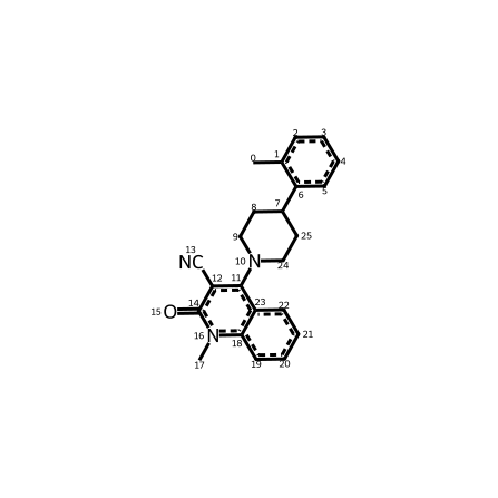 Cc1ccccc1C1CCN(c2c(C#N)c(=O)n(C)c3ccccc23)CC1